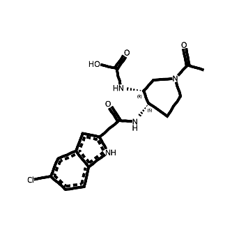 CC(=O)N1CC[C@H](NC(=O)c2cc3cc(Cl)ccc3[nH]2)[C@H](NC(=O)O)C1